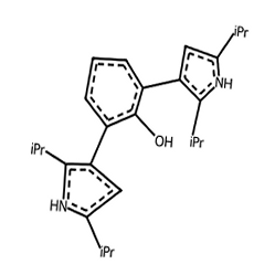 CC(C)c1cc(-c2cccc(-c3cc(C(C)C)[nH]c3C(C)C)c2O)c(C(C)C)[nH]1